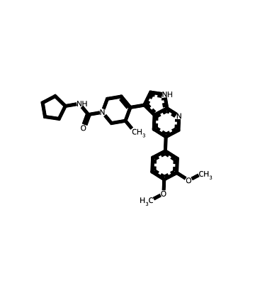 COc1ccc(-c2cnc3[nH]cc(C4=CCN(C(=O)NC5CCCC5)CC4C)c3c2)cc1OC